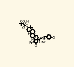 CC(=O)OC(CNCc1ccc(Cl)cc1)C12CC[C@]3(C)[C@H](CC[C@@H]4[C@@]5(C)CC[C@H](OC(=O)CC(C)(C)C(=O)O)C6(C)C[C@]65CC[C@]43C)C1=C(C(C)C)C(=O)C2